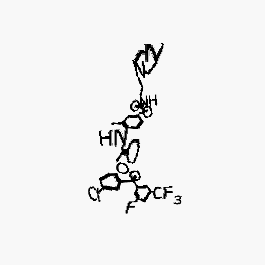 Cc1cc(S(=O)(=O)NCCCN2CCN(C)CC2)ccc1NC(=O)COc1ccc(Cl)cc1C(=O)c1cc(F)cc(C(F)(F)F)c1